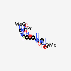 CC[C@H](C)[C@H](NC(=O)OC)C(=O)N1CCC[C@H]1c1cnc(-c2ccc3c(c2)Cc2cc(F)c(-c4cnc([C@@H]5CCCN5C(=O)[C@@H](NC(=O)OC)C(C)C)[nH]4)cc2O3)[nH]1